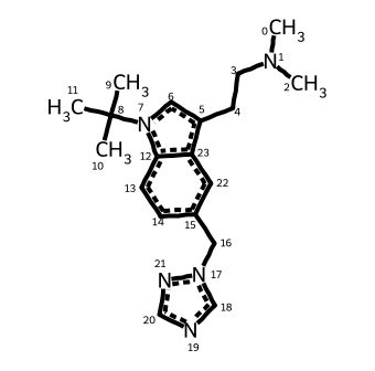 CN(C)CCc1cn(C(C)(C)C)c2ccc(Cn3cncn3)cc12